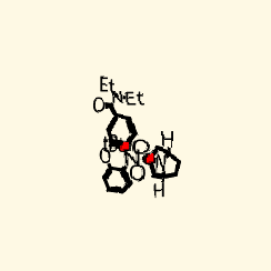 CCN(CC)C(=O)c1ccc2c(c1)Oc1ccccc1N2[C@H]1C[C@H]2CC[C@@H](C1)N2C(=O)OC(C)(C)C